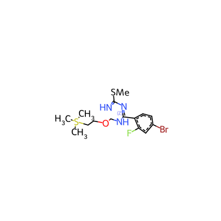 CSC(=N)/N=C(\NCOCCS(C)(C)C)c1ccc(Br)cc1F